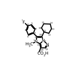 Cn1c(-c2ccc(F)cc2)c(C2CCCCC2)n2ncc(C(=O)O)c12